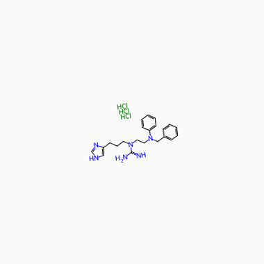 Cl.Cl.Cl.N=C(N)N(CCCc1c[nH]cn1)CCN(Cc1ccccc1)c1ccccc1